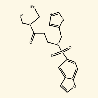 CC(C)CN(CC(C)C)C(=O)CCN(Cc1cncs1)S(=O)(=O)c1ccc2occc2c1